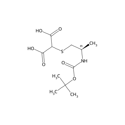 C[C@H](CSC(C(=O)O)C(=O)O)NC(=O)OC(C)(C)C